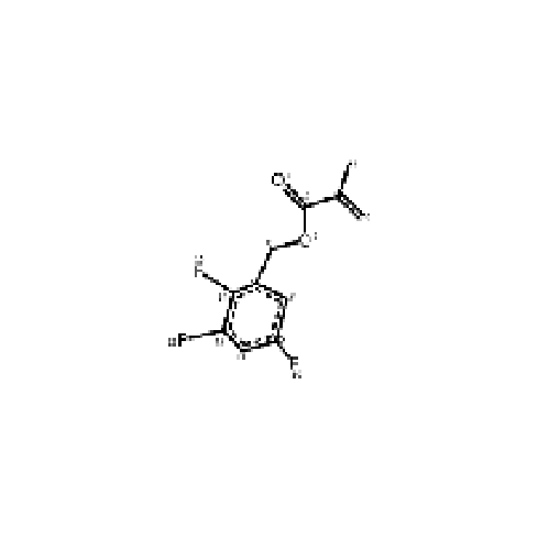 C=C(C)C(=O)OCc1cc(F)cc(F)c1F